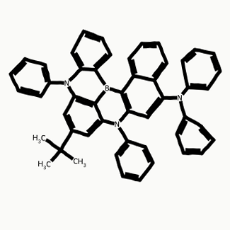 CC(C)(C)c1cc2c3c(c1)N(c1ccccc1)c1cc(N(c4ccccc4)c4ccccc4)c4ccccc4c1B3c1ccccc1N2c1ccccc1